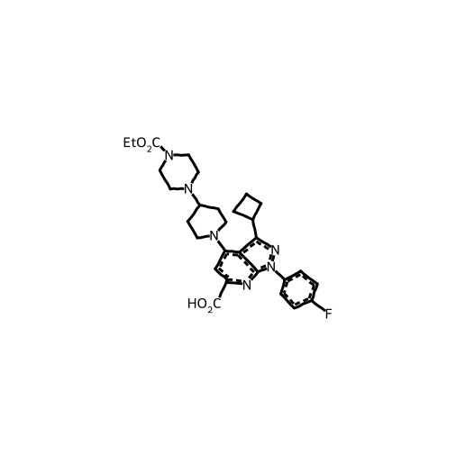 CCOC(=O)N1CCN(C2CCN(c3cc(C(=O)O)nc4c3c(C3CCC3)nn4-c3ccc(F)cc3)CC2)CC1